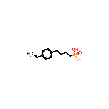 C=Cc1ccc(CCCCP(=O)(O)O)cc1